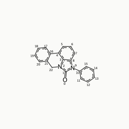 O=c1n2c3c(cccc3n1-c1ccccc1)-c1ccccc1C2